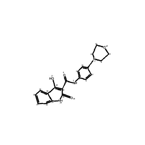 O=C(Nc1ccc(N2CCOCC2)cc1)c1c(O)c2ccccc2[nH]c1=O